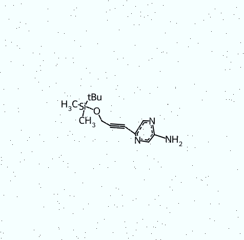 CC(C)(C)[Si](C)(C)OCC#Cc1cnc(N)cn1